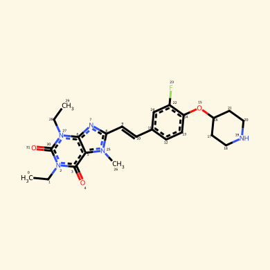 CCn1c(=O)c2c(nc(C=Cc3ccc(OC4CCNCC4)c(F)c3)n2C)n(CC)c1=O